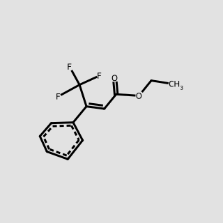 CCOC(=O)C=C(c1ccccc1)C(F)(F)F